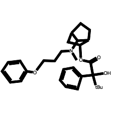 CN(CCCOc1ccccc1)C1C2CCC1C(OC(=O)C(O)(c1ccccc1)C(C)(C)C)C2